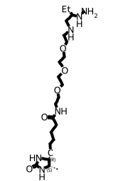 CCC(CNCCOCCOCCOCCNC(=O)CCCCC[C@H]1NC(=O)N[C@H]1C)NN